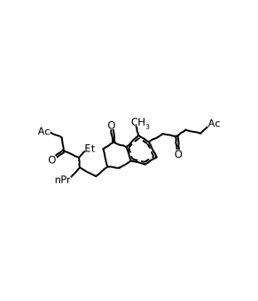 CCCC(CC1CC(=O)c2c(ccc(CC(=O)CCC(C)=O)c2C)C1)C(CC)C(=O)CC(C)=O